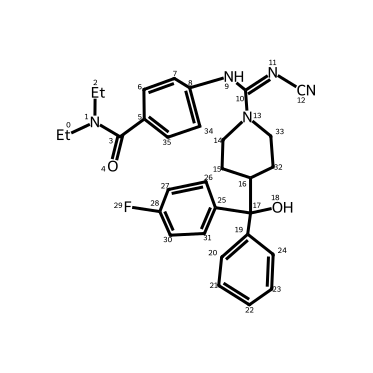 CCN(CC)C(=O)c1ccc(N/C(=N/C#N)N2CCC(C(O)(c3ccccc3)c3ccc(F)cc3)CC2)cc1